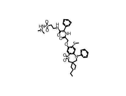 CCCCC1(CC)CN(c2ccccc2)c2cc(SC)c(OCC(=O)N[C@@H](C(=O)NCCS(=O)(=O)NN(C)C)c3ccccc3)cc2S(=O)(=O)C1